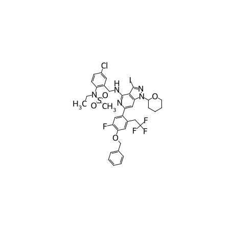 CCN(c1ccc(Cl)cc1CNc1nc(-c2cc(F)c(OCc3ccccc3)cc2CC(F)(F)F)cc2c1c(I)nn2C1CCCCO1)S(C)(=O)=O